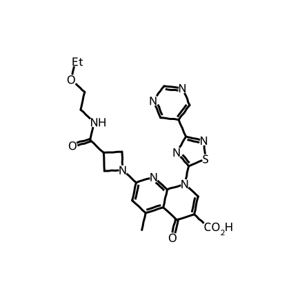 CCOCCNC(=O)C1CN(c2cc(C)c3c(=O)c(C(=O)O)cn(-c4nc(-c5cncnc5)ns4)c3n2)C1